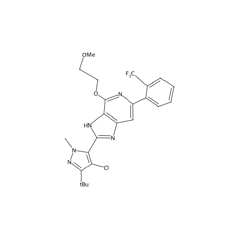 COCCOc1nc(-c2ccccc2C(F)(F)F)cc2nc(-c3c(Cl)c(C(C)(C)C)nn3C)[nH]c12